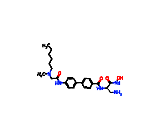 CCCCCCN(C)CC(=O)Nc1ccc(-c2ccc(C(=O)N[C@@H](CN)C(=O)NO)cc2)cc1